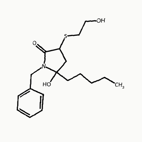 CCCCCC1(O)CC(SCCO)C(=O)N1Cc1ccccc1